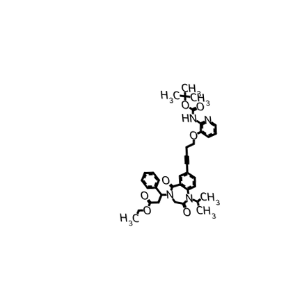 CCOC(=O)CC(c1ccccc1)N1CC(=O)N(C(C)C)c2ccc(C#CCCOc3cccnc3NC(=O)OC(C)(C)C)cc2C1=O